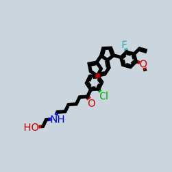 C=Cc1c(OC)ccc(C2=CC=C3/C(Cc4ccc(C(=O)CCCCCNCCO)c(Cl)c4)=C/C/C=C\C=C/32)c1F